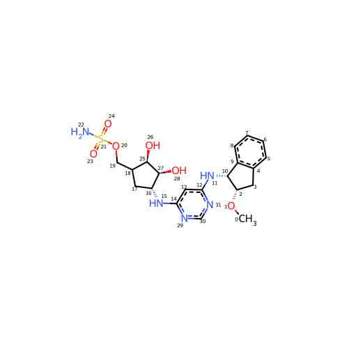 CO[C@H]1Cc2ccccc2[C@H]1Nc1cc(N[C@@H]2CC(COS(N)(=O)=O)[C@@H](O)[C@H]2O)ncn1